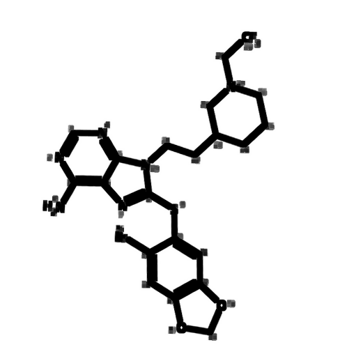 Nc1ncnc2c1nc(Sc1cc3c(cc1Br)OCO3)n2CCC1CCCN(CC(F)(F)F)C1